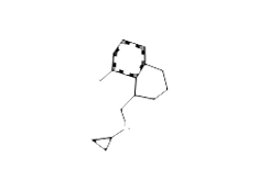 Clc1cccc2c1C(CNC1CC1)CCC2